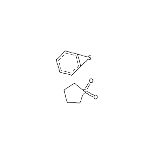 O=S1(=O)CCCC1.c1ccc2c(c1)S2